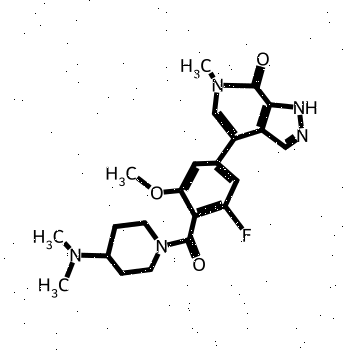 COc1cc(-c2cn(C)c(=O)c3[nH]ncc23)cc(F)c1C(=O)N1CCC(N(C)C)CC1